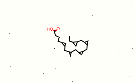 CCC1CC1CC1CC1CC1CC1CC1CC1CC1CC1CCCC(=O)O